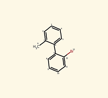 Cc1ccccc1-c1ccccc1Br